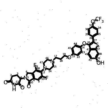 O=C1CCC(N2Cc3c(cc(F)c(N4CCN(CCCOc5ccc(Oc6c(-c7ccc(OC(F)(F)F)cc7)sc7cc(O)ccc67)cc5)CC4)c3F)C2=O)C(=O)N1